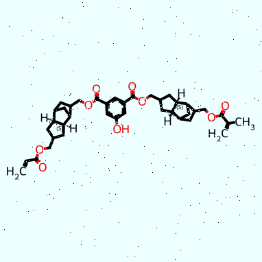 C=CC(=O)OCC1C[C@@H]2C3CC(CC3COC(=O)c3cc(O)cc(C(=O)OCC4C[C@@H]5C6CC(CC6COC(=O)C(=C)C)[C@@H]5C4)c3)[C@@H]2C1